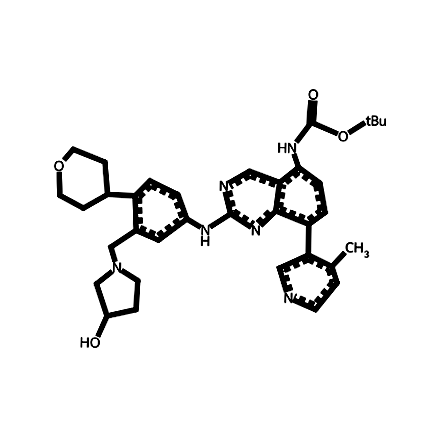 Cc1ccncc1-c1ccc(NC(=O)OC(C)(C)C)c2cnc(Nc3ccc(C4CCOCC4)c(CN4CCC(O)C4)c3)nc12